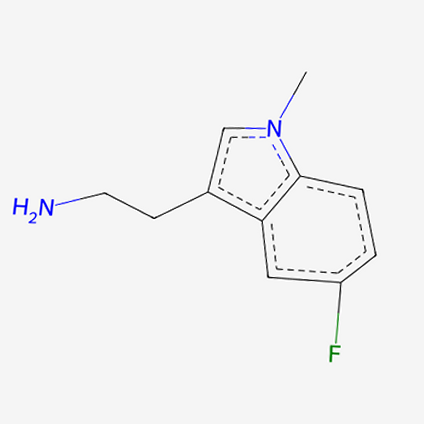 Cn1cc(CCN)c2cc(F)ccc21